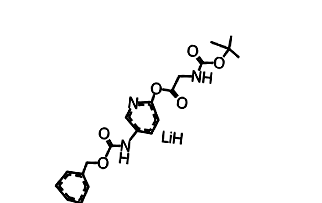 CC(C)(C)OC(=O)NCC(=O)Oc1ccc(NC(=O)OCc2ccccc2)cn1.[LiH]